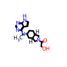 CN(c1ncnc2[nH]ccc12)[C@@H]1CC[C@H]2CN(C(=O)CO)C[C@H]2C1